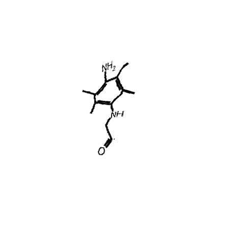 Cc1c(C)c(NC[C]=O)c(C)c(C)c1N